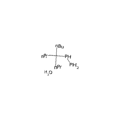 CCCCC(CCC)(CCC)PP.O